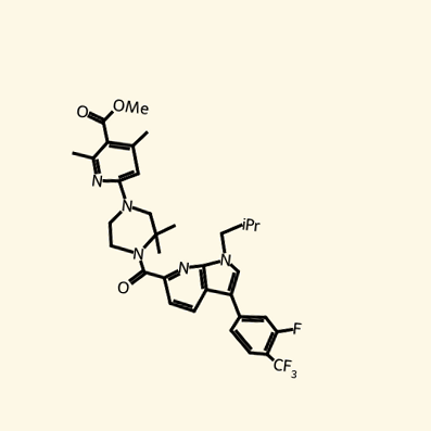 COC(=O)c1c(C)cc(N2CCN(C(=O)c3ccc4c(-c5ccc(C(F)(F)F)c(F)c5)cn(CC(C)C)c4n3)C(C)(C)C2)nc1C